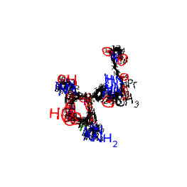 CC(C)[C@H](NC(=O)CCCCCN1C(=O)C=CC1=O)C(=O)N[C@@H](C)C(=O)Nc1ccc(CSP2(=O)OC[C@H]3O[C@@H](n4cnc5c(N)ncnc54)[C@H](F)[C@@H]3COP(=O)(O)OC[C@H]3O[C@@H](n4cnc5c(O)ncnc54)C[C@@H]3O2)cc1